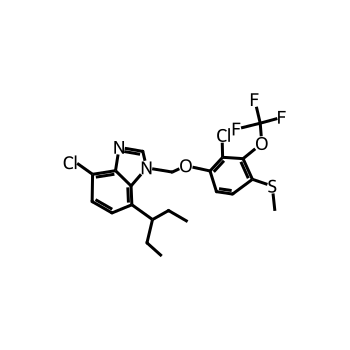 CCC(CC)c1ccc(Cl)c2ncn(COc3ccc(SC)c(OC(F)(F)F)c3Cl)c12